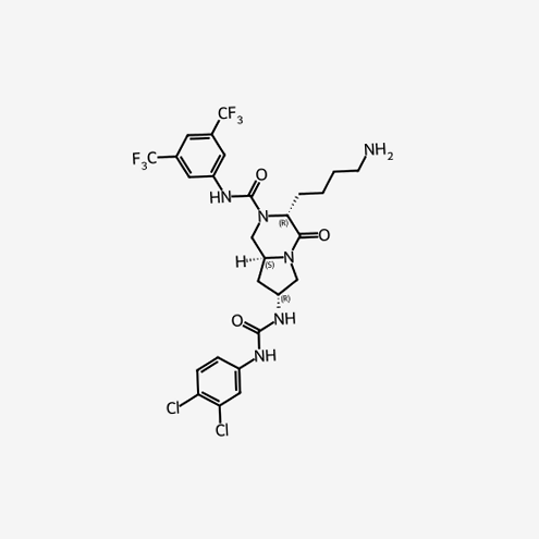 NCCCC[C@@H]1C(=O)N2C[C@H](NC(=O)Nc3ccc(Cl)c(Cl)c3)C[C@H]2CN1C(=O)Nc1cc(C(F)(F)F)cc(C(F)(F)F)c1